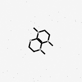 CN1CCN(C)C2=C1OCCN2C